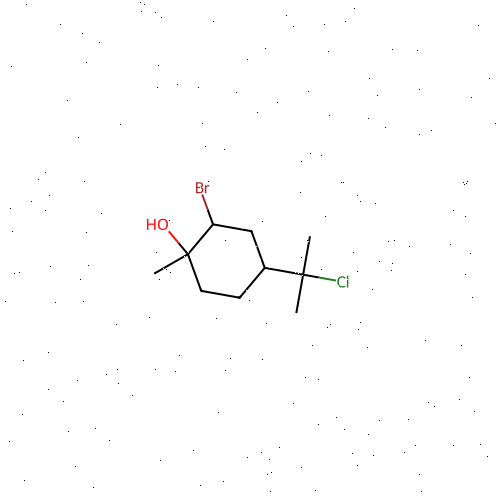 CC(C)(Cl)C1CCC(C)(O)C(Br)C1